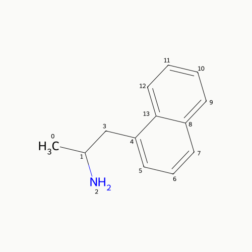 CC(N)Cc1cccc2ccccc12